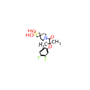 CC(C)(Oc1ccc(F)c(F)c1)C(=O)N1CCC2(CC1)CS(O)(O)C2